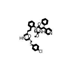 COC(=O)N[C@H](C(=O)Nc1ccccc1CC[C@@H]1CNC[C@@H](CSc2ccc(Cl)cc2)O1)[C@H](c1ccccc1)c1ccncc1